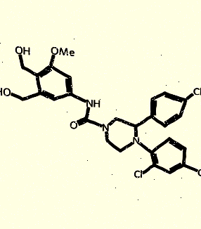 COc1cc(NC(=O)N2CCN(c3ccc(Cl)cc3Cl)C(c3ccc(Cl)cc3)C2)cc(CO)c1CO